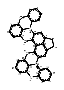 O=P12c3ccccc3Oc3cccc(c31)Oc1c2cc2c3c(cc4c(c13)Oc1cccc3c1P4(=O)c1ccccc1O3)CC2